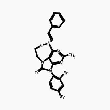 Cc1nc2c3c(n1)n(-c1ccc(C(C)C)cc1Br)c(=O)n3CCCN2/C=C/c1ccccc1